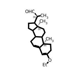 CCOC1=CC2=CCC3C4CCC([C@H](C)C=O)[C@@]4(C)CCC3[C@@]2(C)CC1